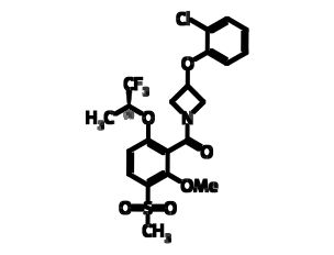 COc1c(S(C)(=O)=O)ccc(O[C@@H](C)C(F)(F)F)c1C(=O)N1CC(Oc2ccccc2Cl)C1